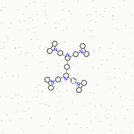 C1=CC(n2c3ccccc3c3ccccc32)CC=C1c1cc(-c2ccc(-c3cc(-c4ccc(-n5c6ccccc6c6ccccc65)cc4)nc(-c4ccc(-n5c6ccccc6c6ccccc65)cc4)c3)cc2)cc(-c2ccc(-n3c4ccccc4c4ccccc43)cc2)n1